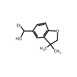 CCC(O)c1ccc2c(c1)C(C)(C)CO2